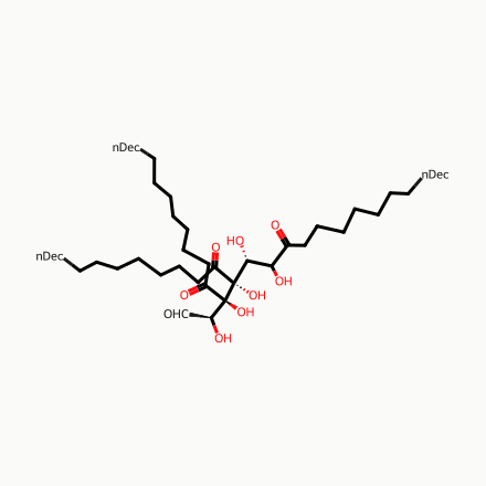 CCCCCCCCCCCCCCCCCC(=O)C(O)[C@@H](O)[C@](O)(C(=O)CCCCCCCCCCCCCCCCC)[C@@](O)(C(=O)CCCCCCCCCCCCCCCCC)[C@@H](O)C=O